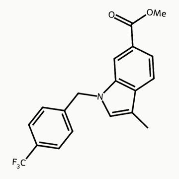 COC(=O)c1ccc2c(C)cn(Cc3ccc(C(F)(F)F)cc3)c2c1